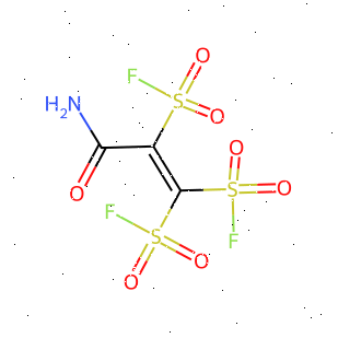 NC(=O)C(=C(S(=O)(=O)F)S(=O)(=O)F)S(=O)(=O)F